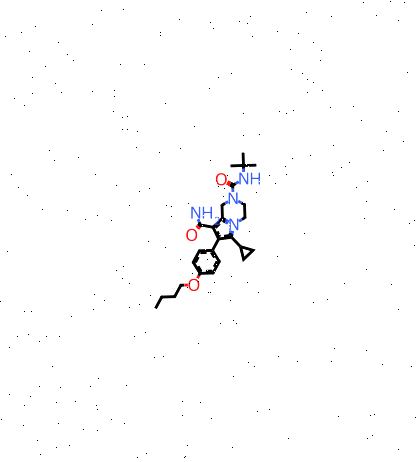 CCCCOc1ccc(-c2c(C(N)=O)c3n(c2C2CC2)CCN(C(=O)NC(C)(C)C)C3)cc1